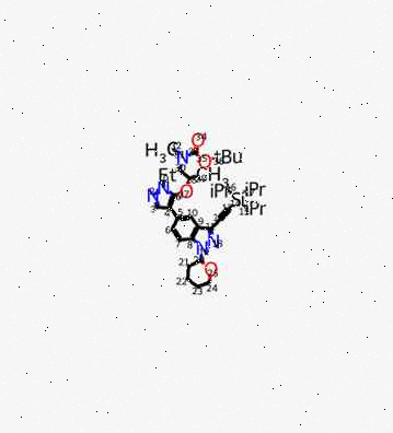 CCn1ncc(-c2ccc3c(c2)c(C#C[Si](C(C)C)(C(C)C)C(C)C)nn3C2CCCCO2)c1OC(C)CN(C)C(=O)OC(C)(C)C